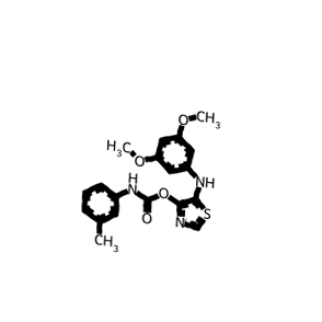 COc1cc(Nc2scnc2OC(=O)Nc2cccc(C)c2)cc(OC)c1